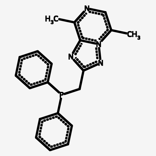 Cc1ncc(C)n2nc(CP(c3ccccc3)c3ccccc3)nc12